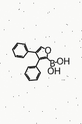 OB(O)c1occ(-c2ccccc2)c1-c1ccccc1